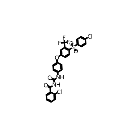 O=C(NC(=O)c1ccccc1Cl)Nc1ccc(Oc2ccc(S(=O)(=O)c3ccc(Cl)cc3)c(C(F)(F)F)c2)cc1